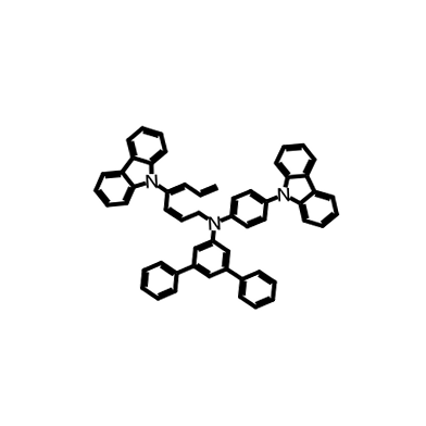 C=C/C=C(\C=C/CN(c1ccc(-n2c3ccccc3c3ccccc32)cc1)c1cc(-c2ccccc2)cc(-c2ccccc2)c1)n1c2ccccc2c2ccccc21